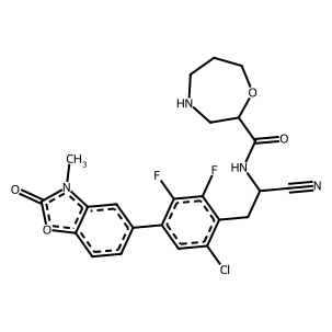 Cn1c(=O)oc2ccc(-c3cc(Cl)c(CC(C#N)NC(=O)C4CNCCCO4)c(F)c3F)cc21